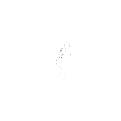 O=C(NC1(c2ccccc2)CC1)[C@H]1CCCN1c1nn2c(=O)c3ccccc3nc2s1